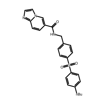 CCCCc1ccc(S(=O)(=O)c2ccc(CNC(=O)c3ccc4nccn4c3)cc2)cc1